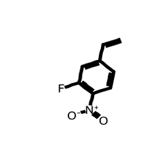 C=Cc1ccc([N+](=O)[O-])c(F)c1